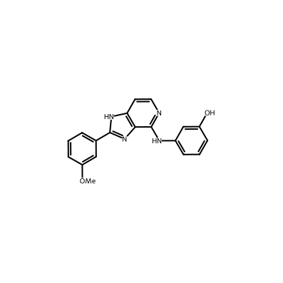 COc1cccc(-c2nc3c(Nc4cccc(O)c4)nccc3[nH]2)c1